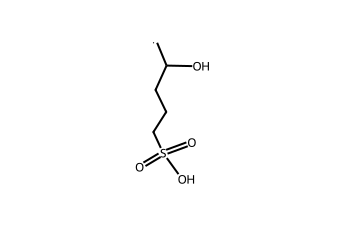 [CH2]C(O)CCCS(=O)(=O)O